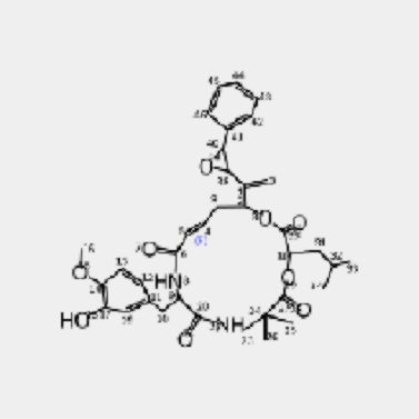 C=C(C1C/C=C/C(=O)NC(Cc2ccc(OC)c(O)c2)C(=O)NCC(C)(C)C(=O)OC(CC(C)C)C(=O)O1)C1OC1c1ccccc1